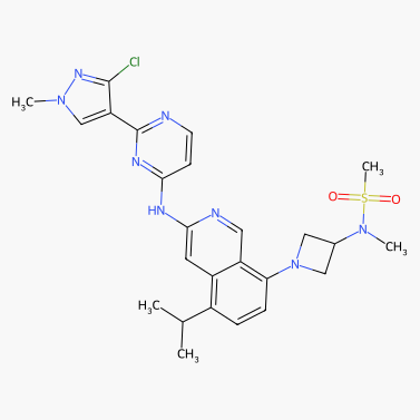 CC(C)c1ccc(N2CC(N(C)S(C)(=O)=O)C2)c2cnc(Nc3ccnc(-c4cn(C)nc4Cl)n3)cc12